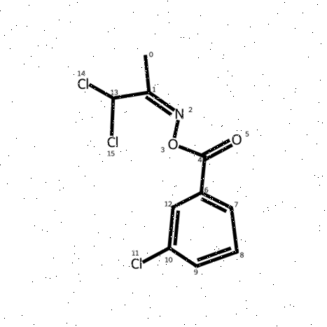 CC(=NOC(=O)c1cccc(Cl)c1)C(Cl)Cl